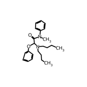 CCCCN(CCCC)C(Oc1ccccc1)C(=O)N(C)c1ccccc1